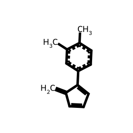 C=C1C=CC=C1c1ccc(C)c(C)c1